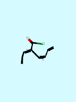 C=C/C=C\C(=C/C)C(=O)Cl